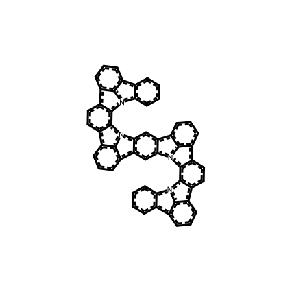 c1ccc2c(c1)c1cccc3c4ccc5c6cccc7c8cc9c(cc8n(c76)c5c4n2c13)c1cccc2c3ccc4c5cccc6c7ccccc7n(c65)c4c3n9c12